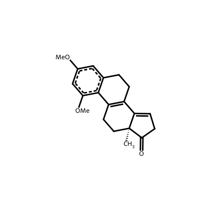 COc1cc2c(c(OC)c1)C1=C(CC2)C2=CCC(=O)[C@@]2(C)CC1